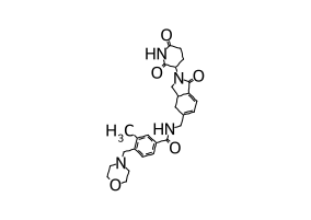 Cc1cc(C(=O)NCC2=CC=C3C(=O)N(C4CCC(=O)NC4=O)CC3C2)ccc1CN1CCOCC1